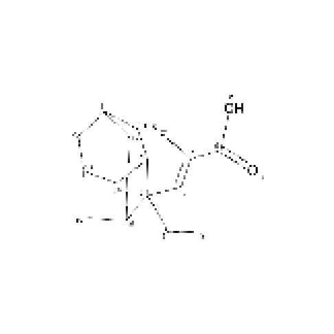 CCC1(C=C(F)C(=O)O)C2CC3CC(C2)CC1C3